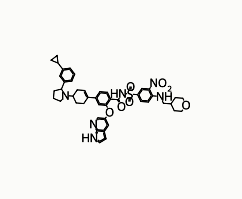 O=C(NS(=O)(=O)c1ccc(NCC2CCOCC2)c([N+](=O)[O-])c1)c1ccc(C2=CCC(N3CCCC3c3cccc(C4CC4)c3)CC2)cc1Oc1cnc2[nH]ccc2c1